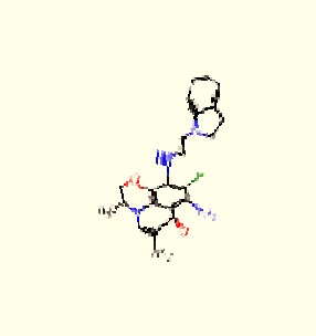 C[C@H]1COc2c(NCCN3CCc4ccccc43)c(F)c(N)c3c(=O)c(C(=O)O)cn1c23